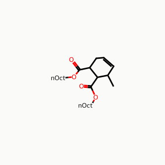 CCCCCCCCOC(=O)C1CC=CC(C)C1C(=O)OCCCCCCCC